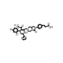 COC(=O)C1=C(CN2CCN3C(=O)N(c4ccc(/C=C/C(=O)O)cc4)CC3C2)NC(c2nccs2)=NC1c1ccc(F)cc1Cl